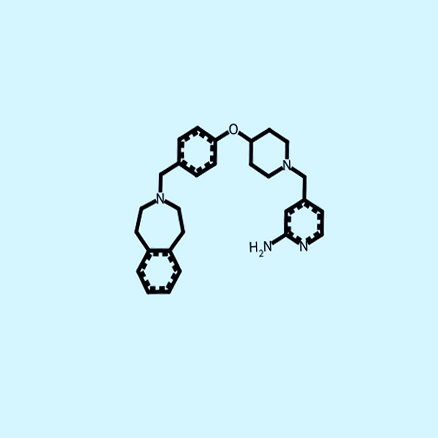 Nc1cc(CN2CCC(Oc3ccc(CN4CCc5ccccc5CC4)cc3)CC2)ccn1